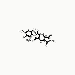 CCc1c(C)cc(C)c(-n2c(=O)c3cc4c(=O)n(C)c(=O)c4cc3c2=O)c1C